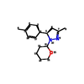 CC1=CC[C@@H]([C@H]2CC(C)=NN2C2CCCCO2)C=C1